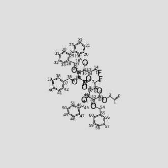 C=CCO[C@H]1O[C@H](CF)[C@@H](O[C@@H]2O[C@H](CF)[C@@H](OCc3ccccc3)[C@H](OCc3ccccc3)[C@H]2OCc2ccccc2)[C@H](OCc2ccccc2)[C@H]1OCc1ccccc1